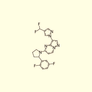 Fc1ccc(F)c(C2CCCN2c2ccn3ncc(-n4cc(C(F)F)cn4)c3n2)c1